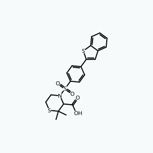 CC1(C)SCCN(S(=O)(=O)c2ccc(-c3cc4ccccc4s3)cc2)C1C(=O)O